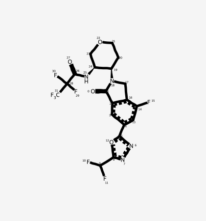 O=C1c2cc(-c3nnc(C(F)F)o3)cc(F)c2CN1[C@@H]1CCOC[C@@H]1NC(=O)C(F)(F)C(F)(F)F